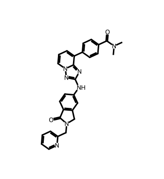 CN(C)C(=O)c1ccc(-c2cccn3nc(Nc4ccc5c(c4)CN(Cc4ccccn4)C5=O)nc23)cc1